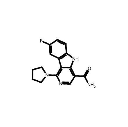 NC(=O)c1cnc(N2CCCC2)c2c1[nH]c1ccc(F)cc12